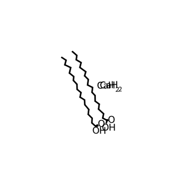 CCCCCCCCCCCCCCCCCC(=O)O.CCCCCCCCCCCCCCCCCC(=O)O.[CaH2].[CaH2]